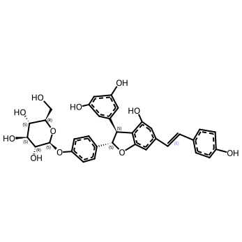 OC[C@H]1O[C@@H](Oc2ccc([C@H]3Oc4cc(/C=C/c5ccc(O)cc5)cc(O)c4[C@@H]3c3cc(O)cc(O)c3)cc2)[C@H](O)[C@@H](O)[C@@H]1O